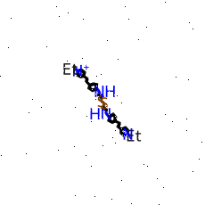 CCN1C=CC(/C=C/c2ccc(NCCSSCCNc3ccc(/C=C/c4cc[n+](CC)cc4)cc3)cc2)=CC1